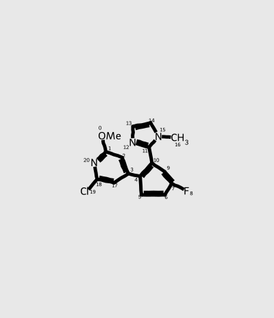 COc1cc(-c2ccc(F)cc2-c2nccn2C)cc(Cl)n1